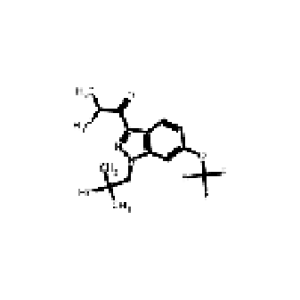 CC(C)C(=O)c1nn(CC(C)(C)O)c2cc(OC(F)(F)F)ccc12